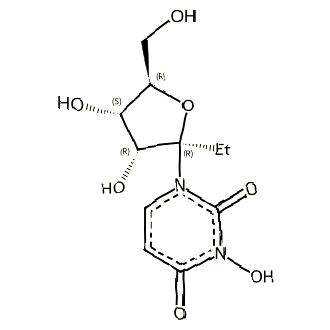 CC[C@@]1(n2ccc(=O)n(O)c2=O)O[C@H](CO)[C@@H](O)[C@H]1O